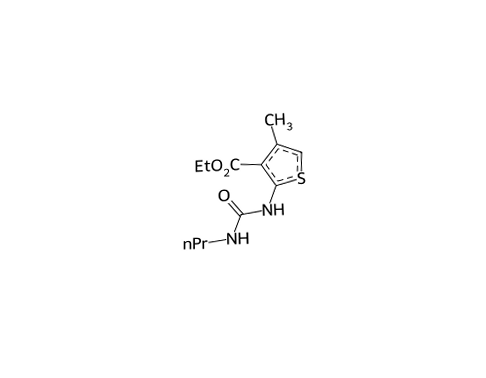 CCCNC(=O)Nc1scc(C)c1C(=O)OCC